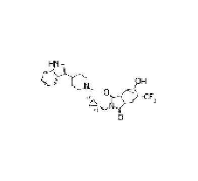 O=C1C2C3CC(C2C(=O)N1C[C@H]1C[C@@H]1CN1CCC(c2c[nH]c4ccccc24)CC1)C(C(F)(F)F)C3O